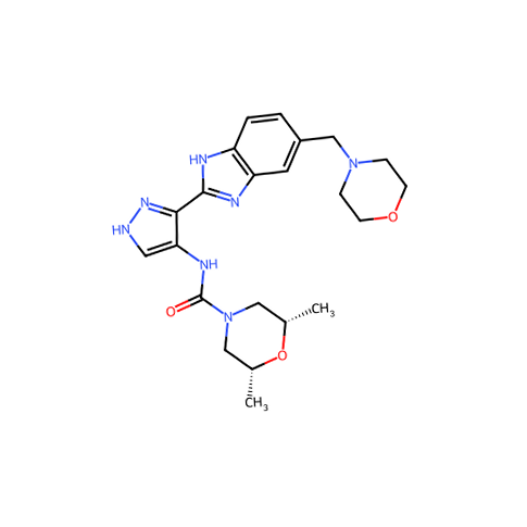 C[C@@H]1CN(C(=O)Nc2c[nH]nc2-c2nc3cc(CN4CCOCC4)ccc3[nH]2)C[C@H](C)O1